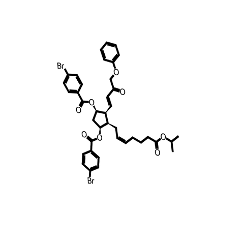 CC(C)OC(=O)CCC/C=C\C[C@@H]1[C@H](/C=C/C(=O)COc2ccccc2)[C@H](OC(=O)c2ccc(Br)cc2)C[C@@H]1OC(=O)c1ccc(Br)cc1